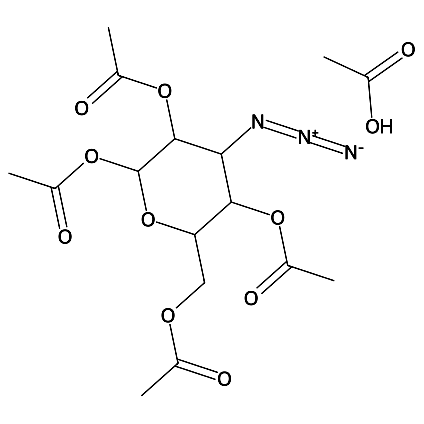 CC(=O)O.CC(=O)OCC1OC(OC(C)=O)C(OC(C)=O)C(N=[N+]=[N-])C1OC(C)=O